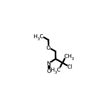 CCOCC(N=O)C(C)(C)Cl